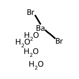 O.O.O.O.[Br][Ba][Br]